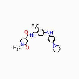 CN1CCC(C(=O)NCc2ccc(Nc3ccc(N4CCCCC4)cc3)cc2C(F)(F)F)CC1=O